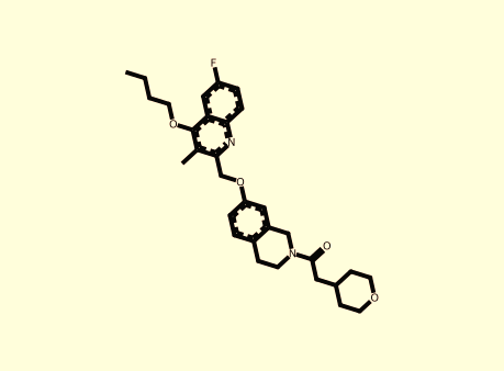 CCCCOc1c(C)c(COc2ccc3c(c2)CN(C(=O)CC2CCOCC2)CC3)nc2ccc(F)cc12